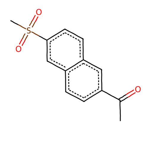 CC(=O)c1ccc2cc(S(C)(=O)=O)ccc2c1